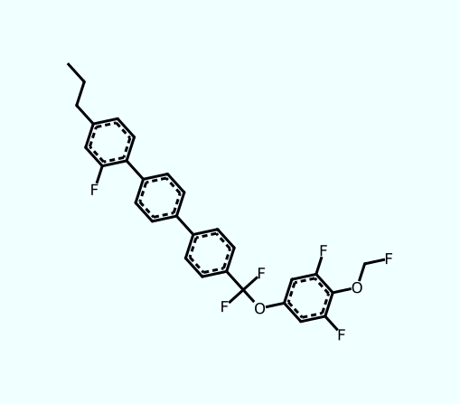 CCCc1ccc(-c2ccc(-c3ccc(C(F)(F)Oc4cc(F)c(OCF)c(F)c4)cc3)cc2)c(F)c1